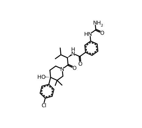 CC(C)[C@@H](NC(=O)c1cccc(NC(N)=O)c1)C(=O)N1CC[C@](O)(c2ccc(Cl)cc2)C(C)(C)C1